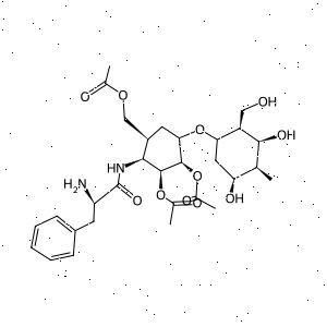 CC(=O)OC[C@H]1CC(OC2C[C@H](O)[C@H](C)[C@H](O)[C@@H]2CO)[C@@H](OC(C)=O)[C@@H](OC(C)=O)[C@H]1NC(=O)[C@H](N)Cc1ccccc1